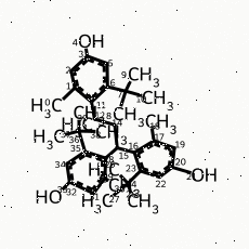 Cc1cc(O)cc(C(C)(C)C)c1C(C)CC(c1c(C)cc(O)cc1C(C)(C)C)c1c(C)cc(O)cc1C(C)(C)C